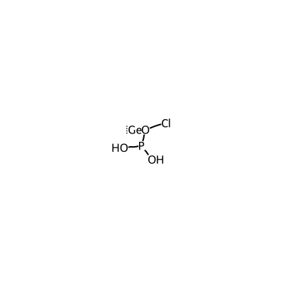 OP(O)OCl.[Ge]